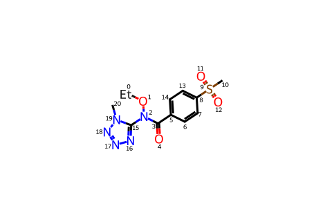 CCON(C(=O)c1ccc(S(C)(=O)=O)cc1)c1nnnn1C